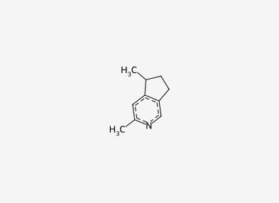 Cc1cc2c(cn1)CCC2C